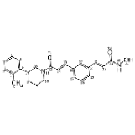 Cc1ccccc1C1CCCN(C(=O)C=Cc2cccc(C=CC(=O)NO)c2)C1